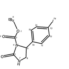 CC(C)(C)OC(=O)N1C(=O)NCC1c1ccc(I)cc1